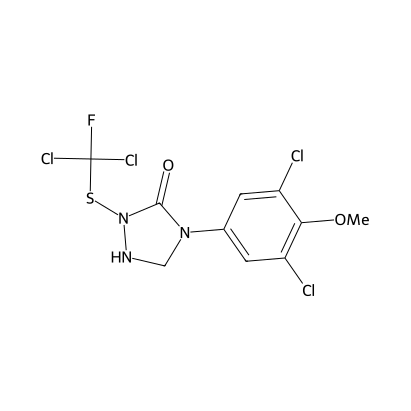 COc1c(Cl)cc(N2CNN(SC(F)(Cl)Cl)C2=O)cc1Cl